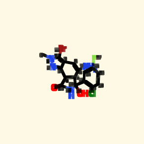 Cn1nc2c3c(c(N)cc2c1Br)C(O)(c1cc(F)ccc1Cl)NC3=O